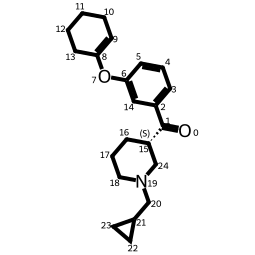 O=C(c1cccc(OC2=CCCCC2)c1)[C@H]1CCCN(CC2CC2)C1